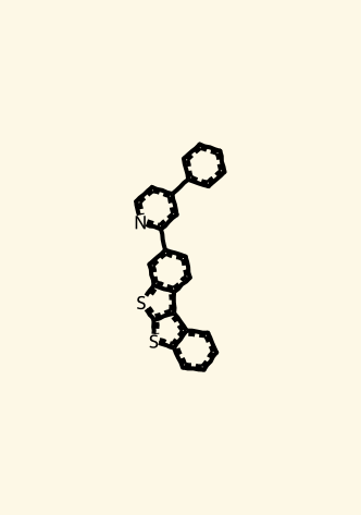 c1ccc(-c2ccnc(-c3ccc4c(c3)sc3sc5ccccc5c34)c2)cc1